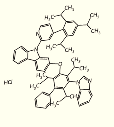 CC(C)c1cc(C(C)C)c(-c2ccnc(-n3c4ccccc4c4ccc(Oc5c(C(C)C)c(-c6ccccc6)c(C(C)C)c(-n6cnc7ccccc76)c5C(C)C)cc43)c2)c(C(C)C)c1.Cl